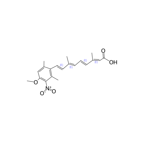 COc1cc(C)c(/C=C/C(C)=C/C=C/C(C)=C/C(=O)O)c(C)c1[N+](=O)[O-]